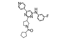 O=C(C1CCCC1)N1CCC(c2nc(Nc3cccc(F)c3)cc(-c3ccncc3)n2)C1